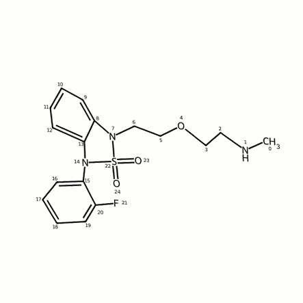 CNCCOCCN1c2ccccc2N(c2ccccc2F)S1(=O)=O